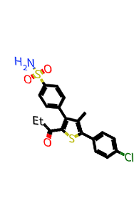 CCC(=O)c1sc(-c2ccc(Cl)cc2)c(C)c1-c1ccc(S(N)(=O)=O)cc1